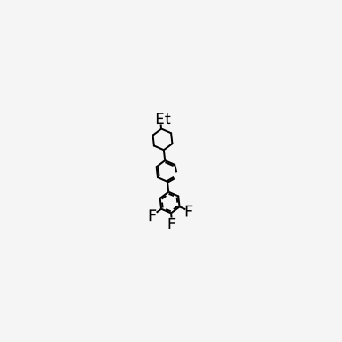 C=C(/C=C\C(=C/C)C1CCC(CC)CC1)c1cc(F)c(F)c(F)c1